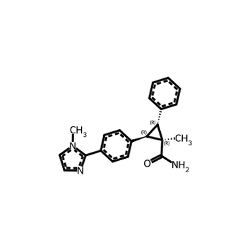 Cn1ccnc1-c1ccc([C@H]2[C@H](c3ccccc3)[C@@]2(C)C(N)=O)cc1